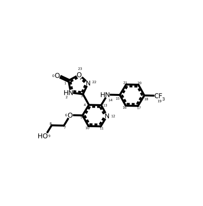 O=c1[nH]c(-c2c(OCCO)ccnc2Nc2ccc(C(F)(F)F)cc2)no1